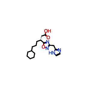 O=C(O)C[C@@H](CCCC1CCCCC1)c1nc(Cc2ncc[nH]2)no1